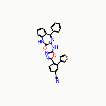 N#Cc1ccc(-c2nnc(N[C@H]3N=C(c4ccccc4)c4ccccc4NC3=O)o2)c(-c2ccsc2)c1